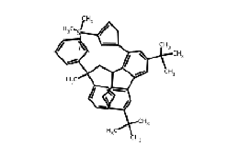 CC(C)(C)c1ccc2c(c1)-c1cc(C(C)(C)C)cc(C3=CC([Si](C)(C)C)=CC3)c1C2CC(C)(c1ccccc1)c1ccccc1